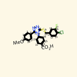 COc1ccc(-c2nnc(SCc3ccc(Cl)c(F)c3)n2-c2ccc(C(=O)O)cc2)cc1